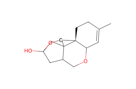 CC1=CC2OCC3CC4(O)CC3(C)[C@]2(CC1)CO4